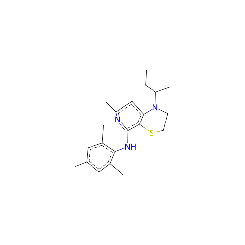 CCC(C)N1CCSc2c1cc(C)nc2Nc1c(C)cc(C)cc1C